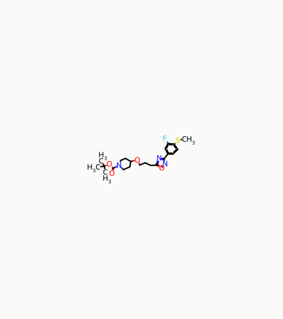 CSc1ccc(-c2noc(CCCOC3CCN(C(=O)OC(C)(C)C)CC3)n2)cc1F